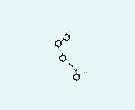 COc1cccc(-c2ccc(OC)c(SNc3cccc(NCCNC(=O)c4ccccc4OC)c3)c2)n1